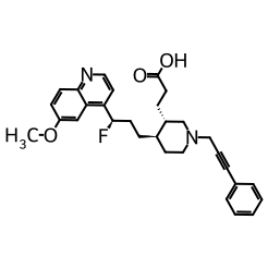 COc1ccc2nccc([C@H](F)CC[C@@H]3CCN(CC#Cc4ccccc4)C[C@H]3CCC(=O)O)c2c1